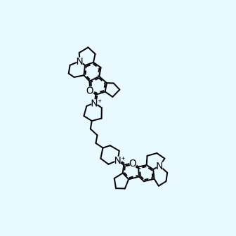 c1c2c3c(c4oc(=[N+]5CCC(CCCC6CC[N+](=c7oc8c9c%10c(cc8c8c7CCC8)CCCN%10CCC9)CC6)CC5)c5c(c14)CCC5)CCCN3CCC2